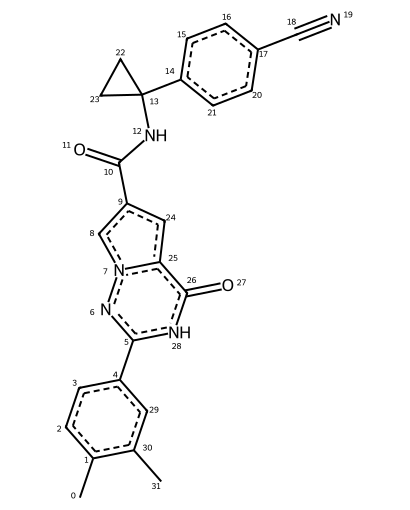 Cc1ccc(-c2nn3cc(C(=O)NC4(c5ccc(C#N)cc5)CC4)cc3c(=O)[nH]2)cc1C